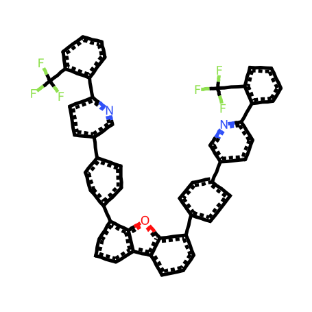 FC(F)(F)c1ccccc1-c1ccc(-c2ccc(-c3cccc4c3oc3c(-c5ccc(-c6ccc(-c7ccccc7C(F)(F)F)nc6)cc5)cccc34)cc2)cn1